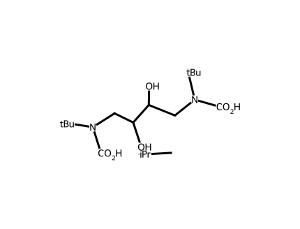 CC(C)(C)N(CC(O)C(O)CN(C(=O)O)C(C)(C)C)C(=O)O.C[C](C)C